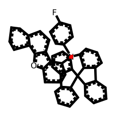 Fc1ccc(N(c2cccc3c2C2(c4ccccc4-c4ccccc42)c2ccccc2-3)c2cccc3oc4c5ccccc5ccc4c23)cc1